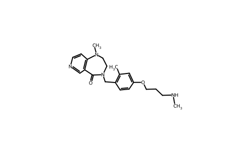 CNCCCOc1ccc(CN2CCN(C)c3ccncc3C2=O)c(C)c1